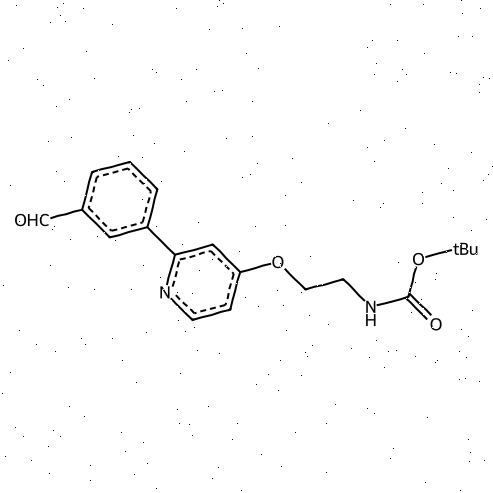 CC(C)(C)OC(=O)NCCOc1ccnc(-c2cccc(C=O)c2)c1